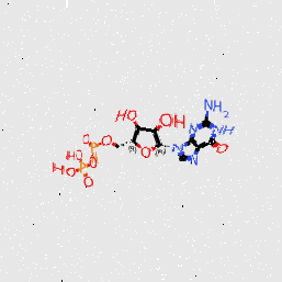 Nc1nc2c(ncn2[C@@H]2O[C@H](CO[PH](=O)OP(=O)(O)O)C(O)C2O)c(=O)[nH]1